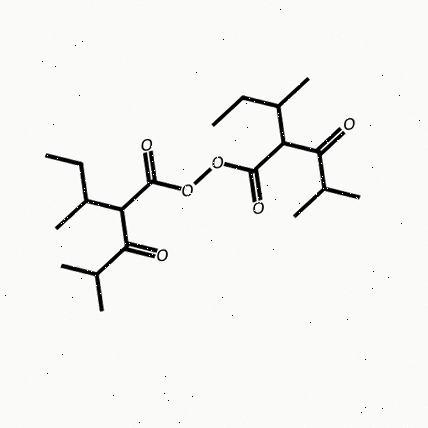 CCC(C)C(C(=O)OOC(=O)C(C(=O)C(C)C)C(C)CC)C(=O)C(C)C